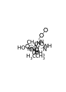 Cc1cc(O)cc(C)c1C[C@H](NC(=O)OC(C)(C)C)C(=O)N[C@@H](Cc1c[nH]cn1)c1nc(Cc2ccc(-c3ccccc3)cc2)no1